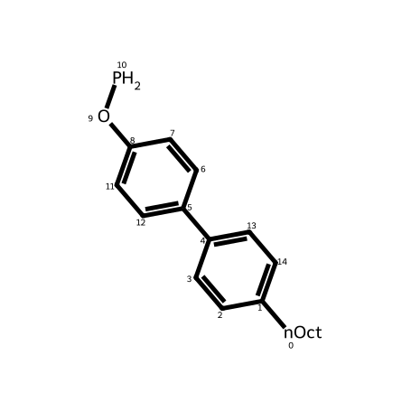 CCCCCCCCc1ccc(-c2ccc(OP)cc2)cc1